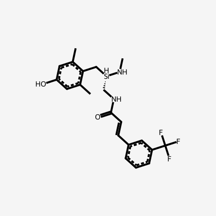 CN[Si@H](CNC(=O)/C=C/c1cccc(C(F)(F)F)c1)Cc1c(C)cc(O)cc1C